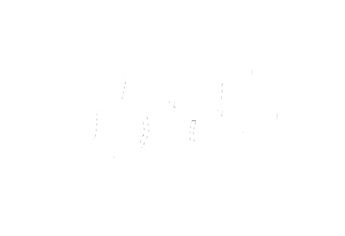 CCN(CC)C(=O)Nc1c(Cl)cc(Cl)cc1Cl